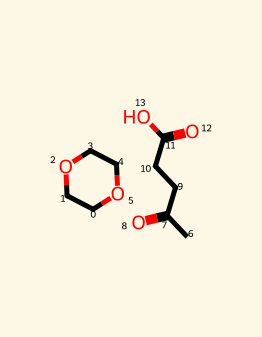 C1COCCO1.CC(=O)CCC(=O)O